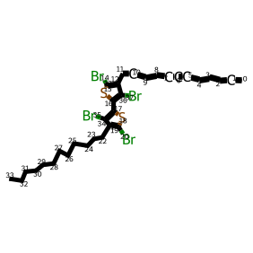 C=C=C=C=C=C=C=C=C=C=C=Cc1c(Br)sc(-c2sc(Br)c(CCCCCCCCCCCC)c2Br)c1Br